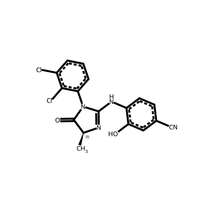 C[C@@H]1N=C(Nc2ccc(C#N)cc2O)N(c2cccc(Cl)c2Cl)C1=O